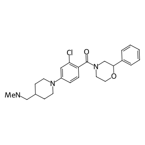 CNCC1CCN(c2ccc(C(=O)N3CCOC(c4ccccc4)C3)c(Cl)c2)CC1